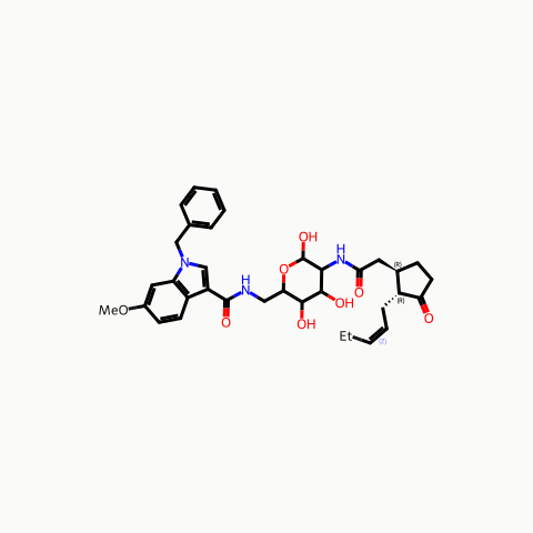 CC/C=C\C[C@H]1C(=O)CC[C@@H]1CC(=O)NC1C(O)OC(CNC(=O)c2cn(Cc3ccccc3)c3cc(OC)ccc23)C(O)C1O